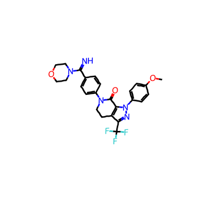 COc1ccc(-n2nc(C(F)(F)F)c3c2C(=O)N(c2ccc(C(=N)N4CCOCC4)cc2)CC3)cc1